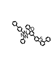 c1ccc(-c2ccc(-c3nc(-c4ccccc4)nc(-c4cc(-c5ccc6c(c5)sc5c(-c7ccccc7)cccc56)cc5oc6ccccc6c45)n3)cc2)cc1